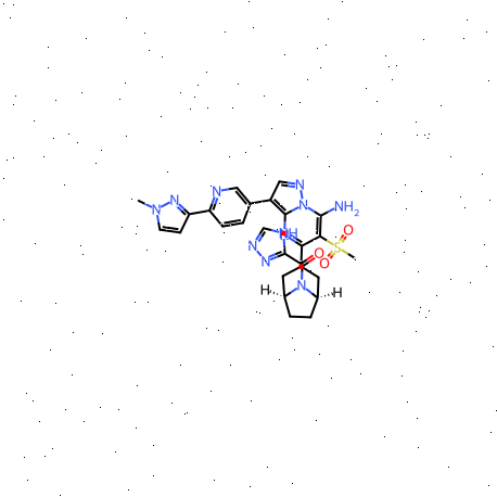 Cn1ccc(-c2ccc(-c3cnn4c(N)c(S(C)(=O)=O)c(C5C[C@H]6CC[C@@H](C5)N6C(=O)c5nnc[nH]5)nc34)cn2)n1